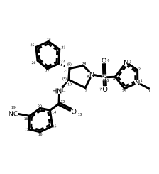 Cn1cnc(S(=O)(=O)N2C[C@@H](NC(=O)c3cccc(C#N)c3)[C@H](c3ccccc3)C2)c1